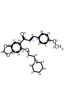 COc1ccc(/C=C/C(=O)c2cc3c(cc2OCCN2CCCCC2)OCO3)cc1